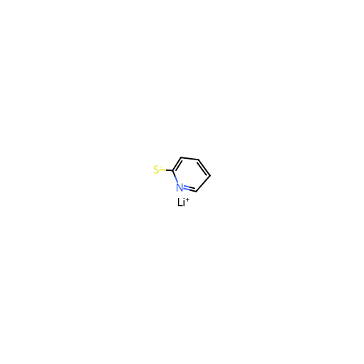 [Li+].[S-]c1ccccn1